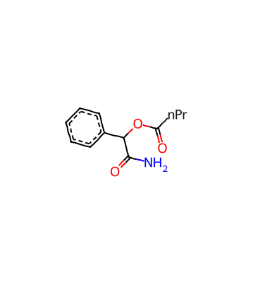 CCCC(=O)OC(C(N)=O)c1ccccc1